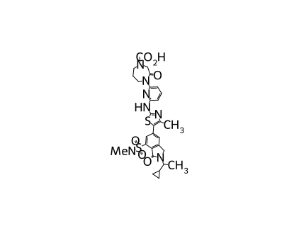 CNS(=O)(=O)c1cc(-c2sc(Nc3cccc(N4CCCN(C(=O)O)CC4=O)n3)nc2C)cc2c1C(=O)N(C(C)C1CC1)C2